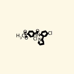 CS(=O)(=O)c1ccc(C(=O)Nc2ccc(Cl)cc2-c2ccccn2)c(Cl)c1